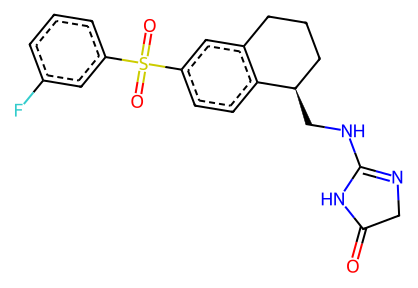 O=C1CN=C(NC[C@@H]2CCCc3cc(S(=O)(=O)c4cccc(F)c4)ccc32)N1